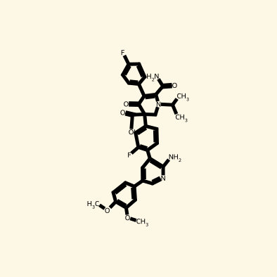 COc1ccc(-c2cnc(N)c(-c3ccc(C4(C(=O)O)CN(C(C)C)C(C(N)=O)=C(c5ccc(F)cc5)C4=O)cc3F)c2)cc1OC